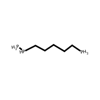 PCCCCCPP